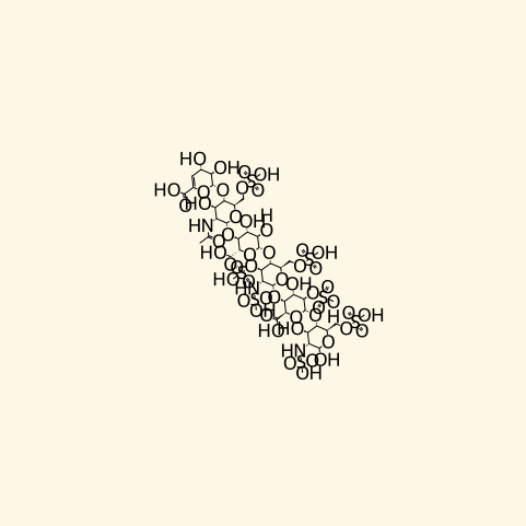 CC(=O)N[C@H]1[C@@H](O[C@H]2[C@H](O)[C@@H](O)[C@H](O[C@H]3[C@H](OS(=O)(=O)O)[C@@H](NS(=O)(=O)O)[C@@H](O[C@H]4[C@H](O)[C@@H](OS(=O)(=O)O)[C@H](O[C@H]5[C@H](O)[C@@H](NS(=O)(=O)O)C(O)O[C@@H]5COS(=O)(=O)O)O[C@H]4C(=O)O)O[C@@H]3COS(=O)(=O)O)O[C@@H]2C(=O)O)O[C@H](COS(=O)(=O)O)[C@@H](O[C@@H]2OC(C(=O)O)=C[C@H](O)[C@H]2O)[C@@H]1O